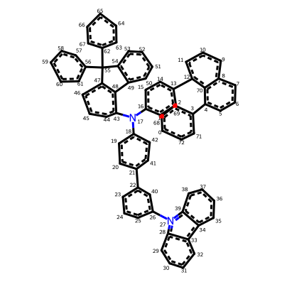 c1ccc(-c2cccc3cccc(-c4ccc(N(c5ccc(-c6cccc(-n7c8ccccc8c8ccccc87)c6)cc5)c5cccc6c5-c5ccccc5C6(c5ccccc5)c5ccccc5)cc4)c23)cc1